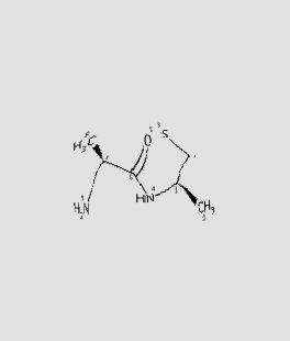 C[C@H](C[S])NC(=O)[C@H](C)N